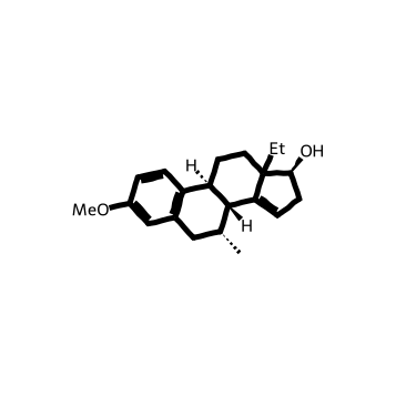 CCC12CC[C@@H]3c4ccc(OC)cc4C[C@@H](C)[C@H]3C1=CC[C@@H]2O